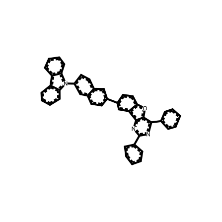 c1ccc(-c2nc(-c3ccccc3)c3oc4ccc(-c5ccc6cc(-n7c8ccccc8c8ccccc87)ccc6c5)cc4c3n2)cc1